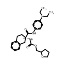 CCN(CC)c1ccc(NC(=O)[C@]2(NC(=O)OCC3CCCO3)CCc3ccccc3C2)cc1